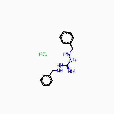 Cl.N=C(NNCc1ccccc1)NNCc1ccccc1